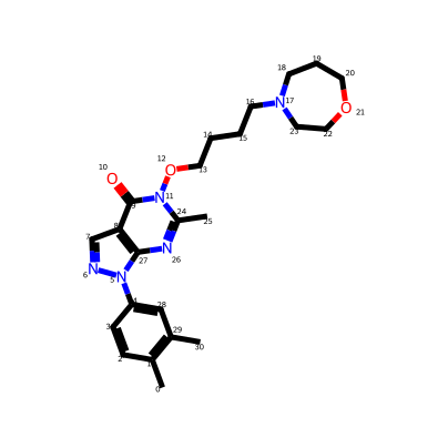 Cc1ccc(-n2ncc3c(=O)n(OCCCCN4CCCOCC4)c(C)nc32)cc1C